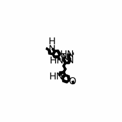 CNc1ncc(CCc2c[nH]c3ccc(OC)cc23)c(Nc2ccc3[nH]c(C)cc3c2)n1